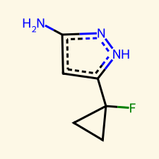 Nc1cc(C2(F)CC2)[nH]n1